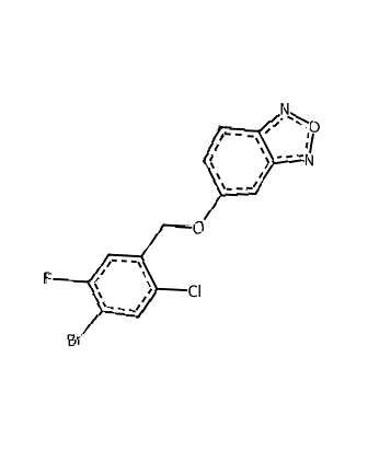 Fc1cc(COc2ccc3nonc3c2)c(Cl)cc1Br